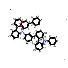 c1ccc(-c2cccc(N(c3cccc(-c4cccc5c4c4ccccc4n5-c4ccccc4)c3)c3ccccc3-c3ccccc3)c2)cc1